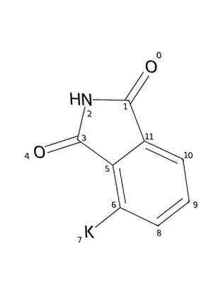 O=C1NC(=O)c2[c]([K])cccc21